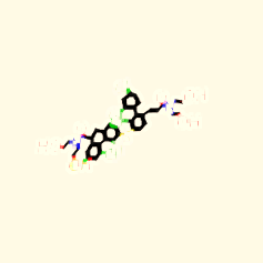 O=C(/C=C/c1ccc(Sc2ccc(/C=C/C(=O)N(CCO)CCO)c(-c3ccc(Cl)cc3Cl)c2Cl)c(Cl)c1-c1ccc(Cl)cc1Cl)N(CCO)CCO